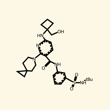 CC(C)(C)NS(=O)(=O)c1cccc(NC(=O)c2ccc(NC3(CO)CCC3)nc2N2CCC3(CC2)CC3)c1